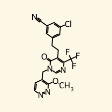 COc1nnccc1Cn1cnc(C(F)(F)F)c(CCc2cc(Cl)cc(C#N)c2)c1=O